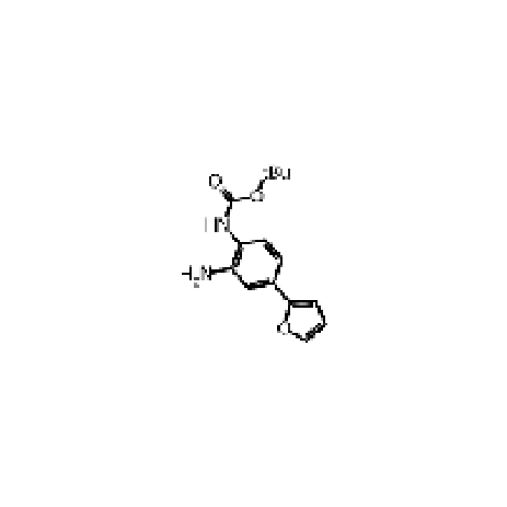 CC(C)(C)OC(=O)Nc1ccc(-c2ccco2)cc1N